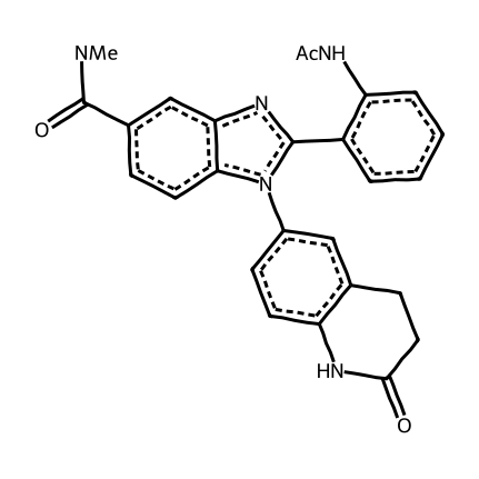 CNC(=O)c1ccc2c(c1)nc(-c1ccccc1NC(C)=O)n2-c1ccc2c(c1)CCC(=O)N2